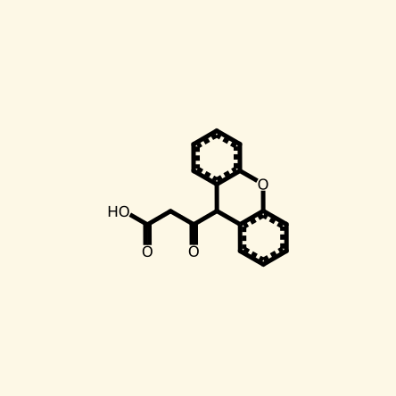 O=C(O)CC(=O)C1c2ccccc2Oc2ccccc21